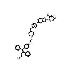 O=C1CCC(N2Cc3ccc(N4CC5CCC4CN5CC4CCN(CCOc5ccc(C(=C(CCCl)c6ccccc6)c6ccccc6)cc5)CC4)cc3C2)C(=O)N1